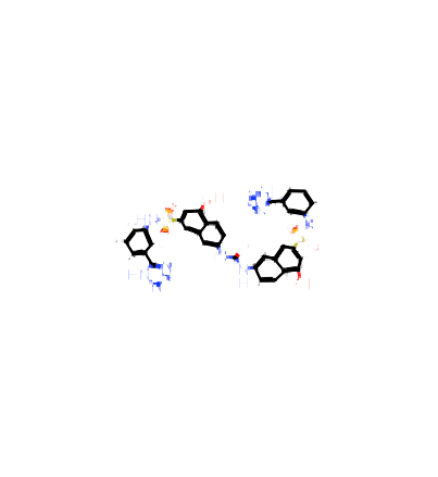 O=C(Nc1ccc2c(O)cc(S(=O)(=O)Nc3cccc(-c4nnn[nH]4)c3)cc2c1)Nc1ccc2c(O)cc(S(=O)(=O)Nc3cccc(-c4nnn[nH]4)c3)cc2c1